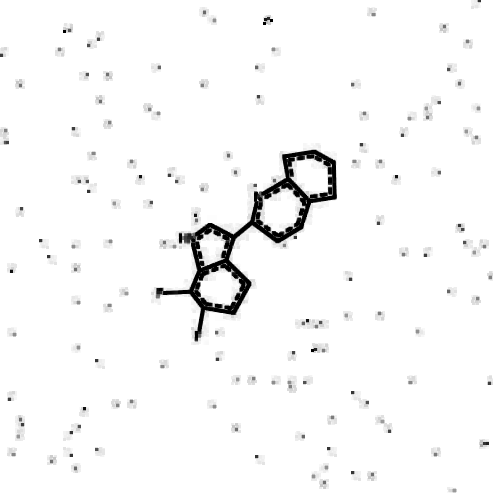 Fc1ccc2c(-c3ccc4ccccc4n3)c[nH]c2c1F